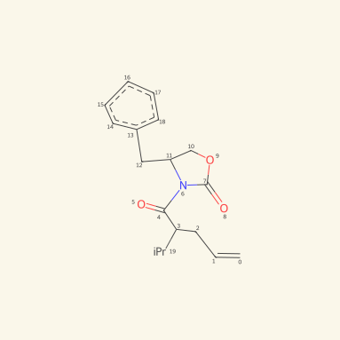 C=CCC(C(=O)N1C(=O)OCC1Cc1ccccc1)C(C)C